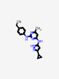 Cc1cc(Nc2cc(C3CC3)n[nH]2)nc(Nc2ccc(CC#N)cc2)n1